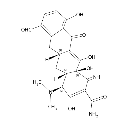 CN(C)[C@@H]1C(O)=C(C(N)=O)C(=N)[C@@]2(O)C(O)=C3C(=O)c4c(O)ccc(C=O)c4C[C@H]3C[C@@H]12